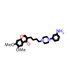 COc1cc2occ(CCCCN3CCN(c4cccc(N)c4)CC3)c(=O)c2cc1OC